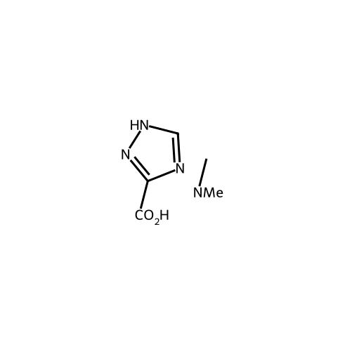 CNC.O=C(O)c1nc[nH]n1